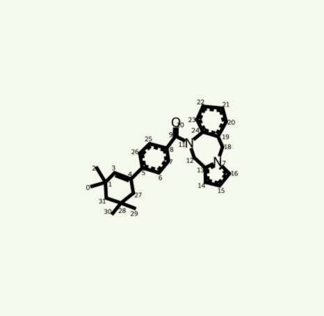 CC1(C)C=C(c2ccc(C(=O)N3Cc4cccn4Cc4ccccc43)cc2)CC(C)(C)C1